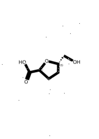 O=C(O)C1CC[C@@H](CO)O1